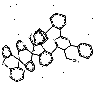 CCC1C(c2cccc3c2-c2ccccc2C32c3ccccc3C3(c4ccccc4Oc4ccccc43)c3ccccc32)=NC(c2ccccc2-c2ccccc2)=NC1c1ccccc1